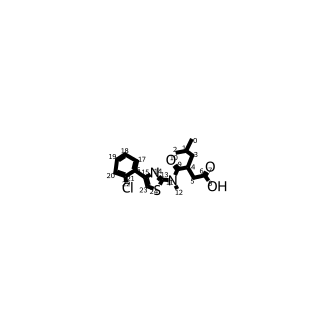 CC(C)CC(CC(=O)O)C(=O)N(C)c1nc(-c2ccccc2Cl)cs1